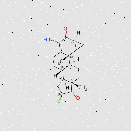 C[C@]12CC[C@H]3[C@@H](CCC4=C(N)C(=O)[C@H]5CC5[C@@]43C)[C@@H]1C[C@H](F)C2=O